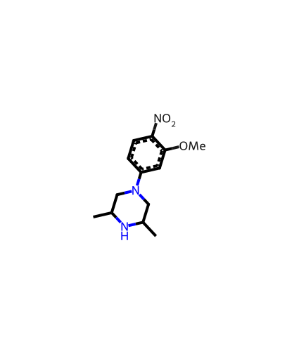 COc1cc(N2CC(C)NC(C)C2)ccc1[N+](=O)[O-]